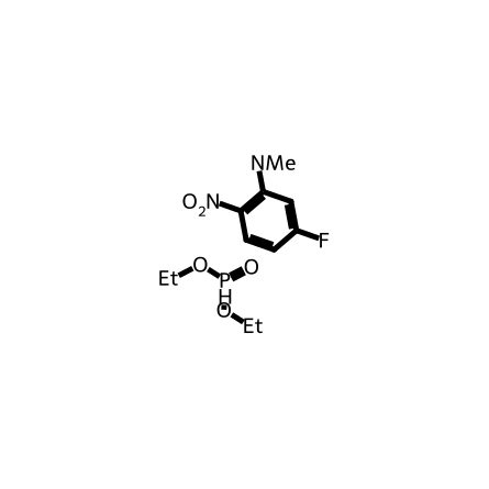 CCO[PH](=O)OCC.CNc1cc(F)ccc1[N+](=O)[O-]